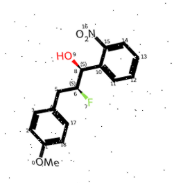 COc1ccc(C[C@H](F)[C@@H](O)c2ccccc2[N+](=O)[O-])cc1